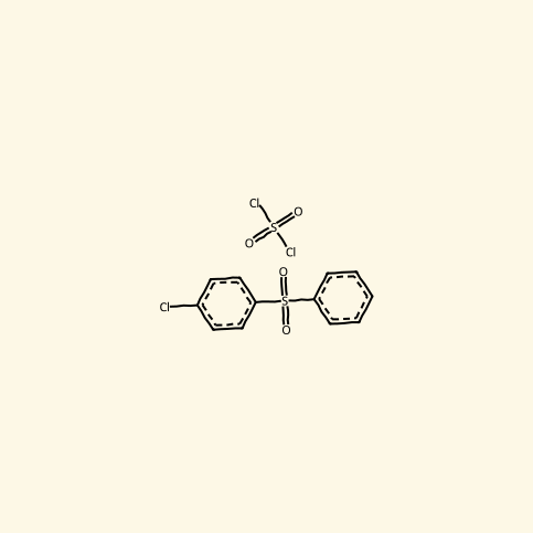 O=S(=O)(Cl)Cl.O=S(=O)(c1ccccc1)c1ccc(Cl)cc1